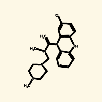 C=C(N(C)CN1CCN(C)CC1)N1c2ccccc2Pc2ccc(Cl)cc21